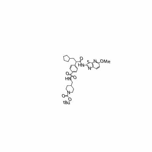 COc1ccc2nc(NC(=O)C(CC3CCCC3)c3ccc(S(=O)(=O)NCC4CCN(C(=O)OC(C)(C)C)CC4)cc3)sc2n1